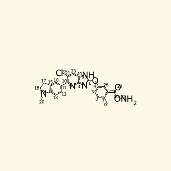 Cc1ccc(Oc2nc3nc(-c4ccc5c(c4)CCN5C)c(Cl)cc3[nH]2)cc1C(=O)ON